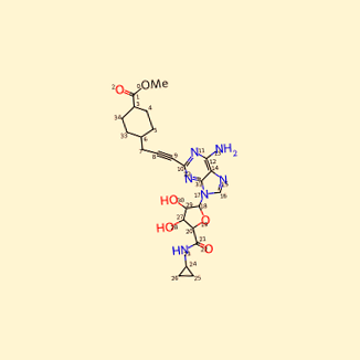 COC(=O)C1CCC(CC#Cc2nc(N)c3ncn(C4OC(C(=O)NC5CC5)C(O)C4O)c3n2)CC1